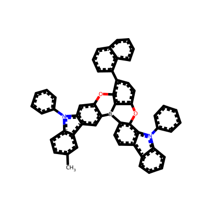 Cc1ccc2c(c1)c1cc3c(cc1n2-c1ccccc1)Oc1c(-c2cccc4ccccc24)ccc2c1B3c1ccc3c4ccccc4n(-c4ccccc4)c3c1O2